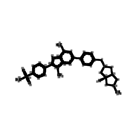 Cc1cc(-c2ccc(CN3CC4CN(C)C[C@@H]4C3)cc2)cc2c1nc(-c1ccc(S(C)(=O)=O)cc1)n2C